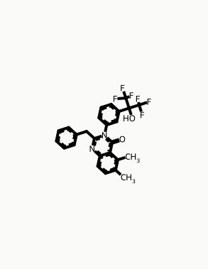 Cc1ccc2nc(Cc3ccccc3)n(-c3cccc(C(O)(C(F)(F)F)C(F)(F)F)c3)c(=O)c2c1C